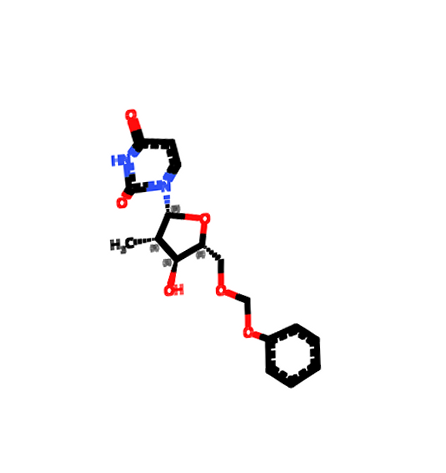 C[C@H]1[C@H](O)[C@@H](COCOc2ccccc2)O[C@H]1n1ccc(=O)[nH]c1=O